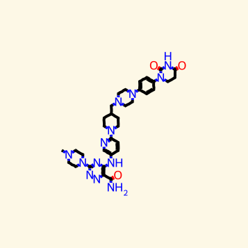 CN1CCN(c2nnc(C(N)=O)c(Nc3ccc(N4CCC(CN5CCN(c6ccc(N7CCC(=O)NC7=O)cc6)CC5)CC4)nc3)n2)CC1